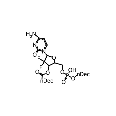 CCCCCCCCCCOP(=O)(O)OCC1OC(n2ccc(N)nc2=O)C(F)(F)C1OC(=O)CCCCCCCCCC